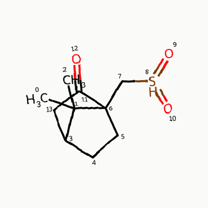 CC1(C)C2CCC1(C[SH](=O)=O)C(=O)C2